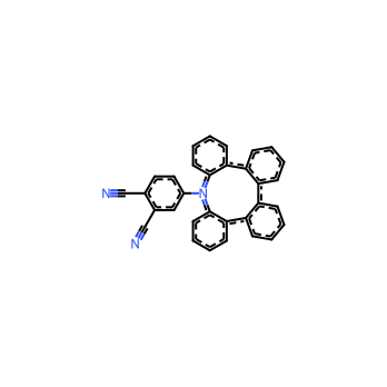 N#Cc1ccc(-n2c3ccccc3c3ccccc3c3ccccc3c3ccccc32)cc1C#N